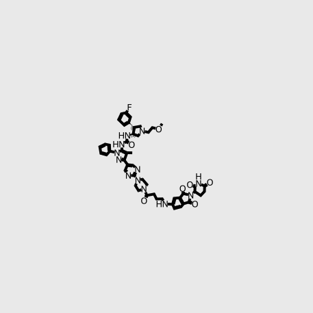 COCCN1C[C@@H](NC(=O)Nc2c(C)c(-c3cnc(N4CCN(C(=O)CCCNc5ccc6c(c5)C(=O)N(C5CCC(=O)NC5=O)C6=O)CC4)nc3)nn2-c2ccccc2)[C@H](c2cccc(F)c2)C1